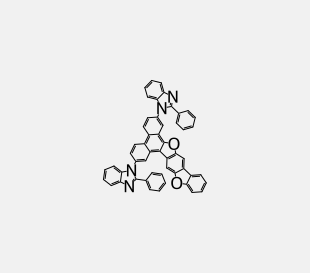 c1ccc(-c2nc3ccccc3n2-c2ccc3c4ccc(-n5c(-c6ccccc6)nc6ccccc65)cc4c4c5cc6oc7ccccc7c6cc5oc4c3c2)cc1